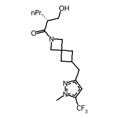 CCC[C@H](CO)C(=O)N1CC2(CC(Cc3cc(C(F)(F)F)n(C)n3)C2)C1